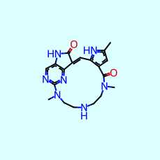 Cc1cc2c([nH]1)/C=C1\C(=O)Nc3cnc(nc31)N(C)CCNCCN(C)C2=O